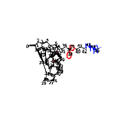 C=C1CC2=CC34C=Cc5cc6c7c8c9c%10c%11c7c5C3([C@H]%11C2C1=C%10C1C9C(C=C[C@H]1C)C[C@H]8C6)C4(CCCC(=O)OCCCN=[N+]=[N-])c1ccccc1